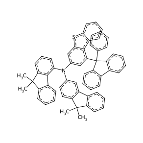 CC1(C)c2ccccc2-c2cc(N(c3cc(C4(c5ccccc5)c5ccccc5-c5ccccc54)c4c(c3)sc3ccccc34)c3cccc4c3-c3ccccc3C4(C)C)ccc21